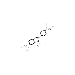 C=CC(=O)Nc1ccc(C=Cc2ccc(NC(=O)CC)cc2)c(S(=O)(=O)O)c1